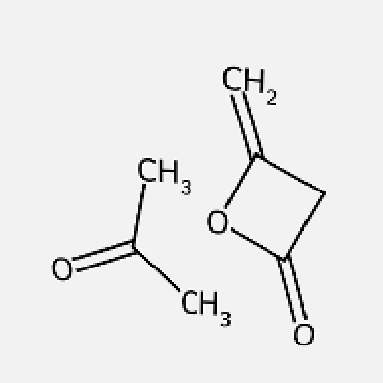 C=C1CC(=O)O1.CC(C)=O